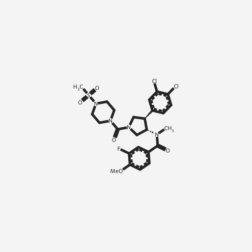 COc1ccc(C(=O)N(C)[C@@H]2CN(C(=O)N3CCN(S(C)(=O)=O)CC3)C[C@H]2c2ccc(Cl)c(Cl)c2)cc1F